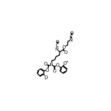 COc1ccccc1OC(=O)N(CCCCC(N=C=O)C(=O)OCCN=C=O)C(=O)Oc1ccccc1OC